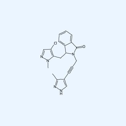 Cc1n[nH]cc1C#CCN1C(=O)c2ccccc2C1Cc1c(Cl)cnn1C